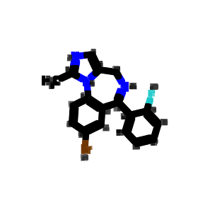 Cc1ncc2n1-c1ccc(Br)cc1C(c1ccccc1F)=NC2